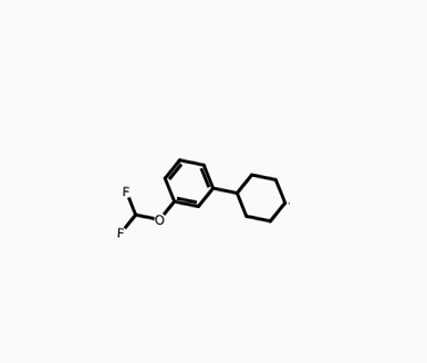 FC(F)Oc1cccc(C2CC[CH]CC2)c1